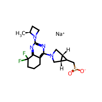 C[C@H]1CCN1c1nc(N2C[C@@H]3C(CS(=O)[O-])[C@@H]3C2)c2c(n1)C(F)(F)CCC2.[Na+]